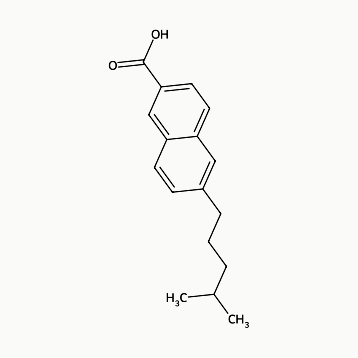 CC(C)CCCc1ccc2cc(C(=O)O)ccc2c1